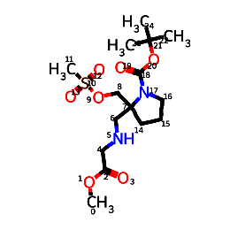 COC(=O)CNCC1(COS(C)(=O)=O)CCCN1C(=O)OC(C)(C)C